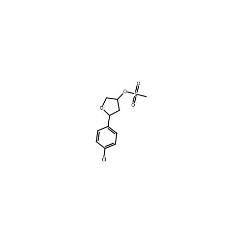 CS(=O)(=O)OC1COC(c2ccc(Cl)cc2)C1